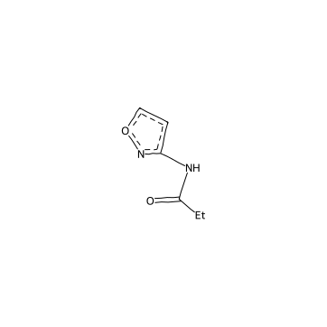 CCC(=O)Nc1ccon1